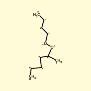 CCCCOOC(C)CCCC